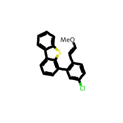 CO/C=C/c1ccc(Cl)cc1-c1cccc2c1sc1ccccc12